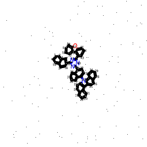 c1ccc2cc(-c3nc(-c4ccc(-n5c6ccc7ccccc7c6c6ccc7ccccc7c65)c5ccccc45)nc(-c4cccc5oc6ccccc6c45)n3)ccc2c1